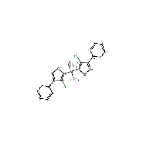 C[Si](C)(C1=C(Cl)C(c2ccccc2)=CC1)C1=C(Cl)C(c2ccccc2)=CC1